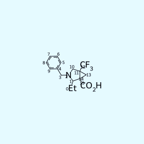 CCC1N(Cc2ccccc2)CC2(C(F)(F)F)CC12C(=O)O